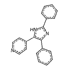 c1ccc(-c2nc(-c3ccccc3)c(-c3ccncc3)[nH]2)cc1